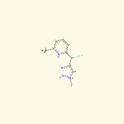 Bc1cccc(C(F)c2cn(C)nn2)n1